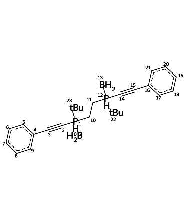 B[PH](C#Cc1ccccc1)(CC[PH](B)(C#Cc1ccccc1)C(C)(C)C)C(C)(C)C